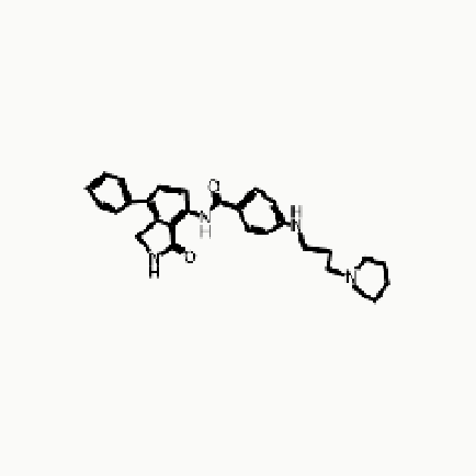 O=C(Nc1ccc(-c2ccccc2)c2c1C(=O)NC2)c1ccc(NCCCN2CCCCC2)cc1